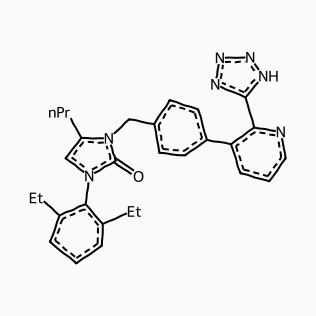 CCCc1cn(-c2c(CC)cccc2CC)c(=O)n1Cc1ccc(-c2cccnc2-c2nnn[nH]2)cc1